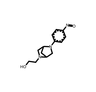 O=Nc1ccc(N2CC3CC2CN3CCO)cc1